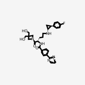 O=C(N[C@@H](CCCN[C@@H]1C[C@H]1c1ccc(F)cc1)C(=O)N1CC(CO)(CO)C1)c1ccc(-c2ncccn2)cc1